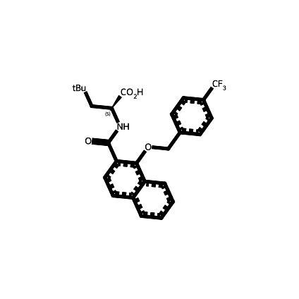 CC(C)(C)C[C@H](NC(=O)c1ccc2ccccc2c1OCc1ccc(C(F)(F)F)cc1)C(=O)O